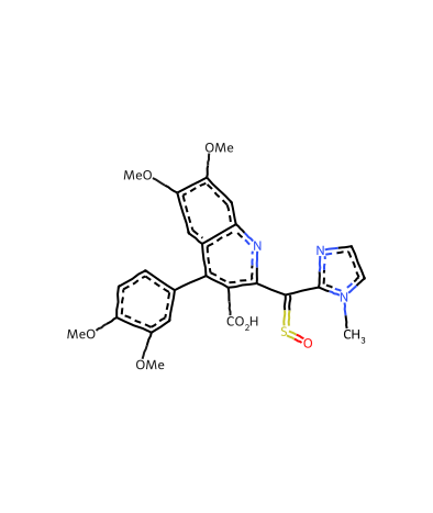 COc1ccc(-c2c(C(=O)O)c(C(=S=O)c3nccn3C)nc3cc(OC)c(OC)cc23)cc1OC